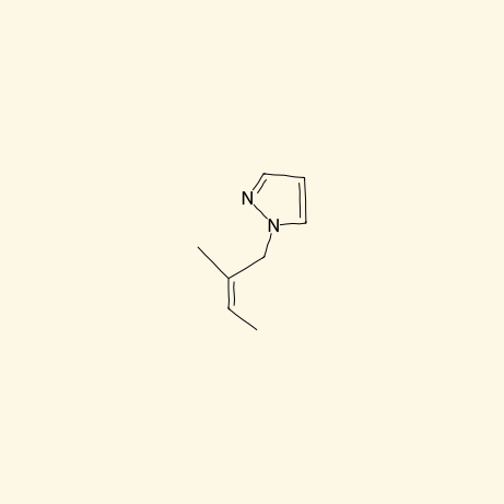 C/C=C(/C)Cn1cccn1